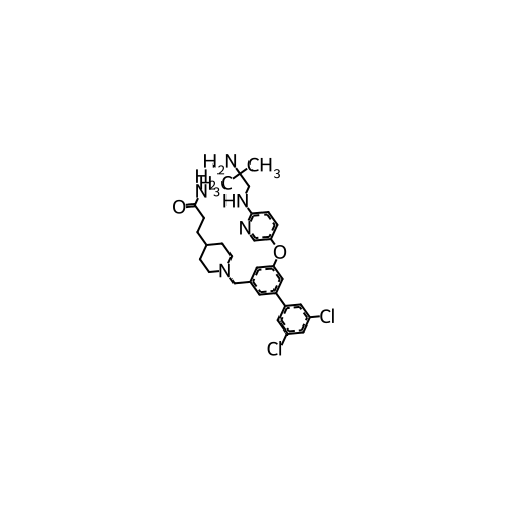 CC(C)(N)CNc1ccc(Oc2cc(CN3CCC(CCC(N)=O)CC3)cc(-c3cc(Cl)cc(Cl)c3)c2)cn1